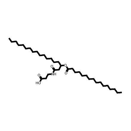 CCCCCCCCCCCCCCCC(=O)OC(CCCCCCCCCCCCCCC)CC(=O)NCCC(=O)O